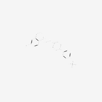 FC(F)(F)Oc1ccc(N2CCN(CC[C@@H]3OCCc4cc(Br)ccc43)CC2)cc1